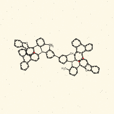 Cc1cc(-c2ccc(N(c3ccc4c5ccccc5c5ccccc5c4c3)c3c(C)cccc3-c3cccc4c3oc3ccccc34)c(C)c2)ccc1N(c1ccc2c3ccccc3c3ccccc3c2c1)c1c(C)cccc1-c1cccc2c1oc1ccccc12